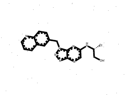 CC[C@H](CO)Nc1cnc2nnn(Cc3ccc4ncccc4c3)c2n1